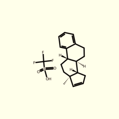 C[C@@]12C=CC[C@H]1[C@@H]1CCc3ccccc3[C@H]1CC2.O=S(=O)(O)C(F)(F)F